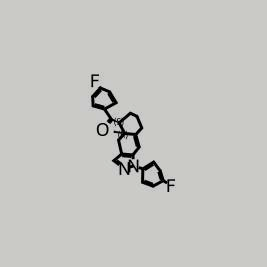 C[C@]12Cc3cnn(-c4ccc(F)cc4)c3C=C1CCC[C@@H]2C(=O)c1ccc(F)cc1